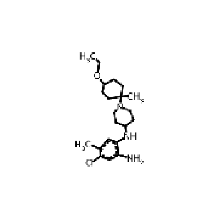 CCOC1CCC(C)(N2CCC(Nc3cc(C)c(Cl)cc3N)CC2)CC1